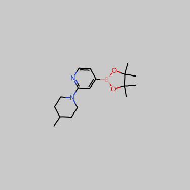 CC1CCN(c2cc(B3OC(C)(C)C(C)(C)O3)ccn2)CC1